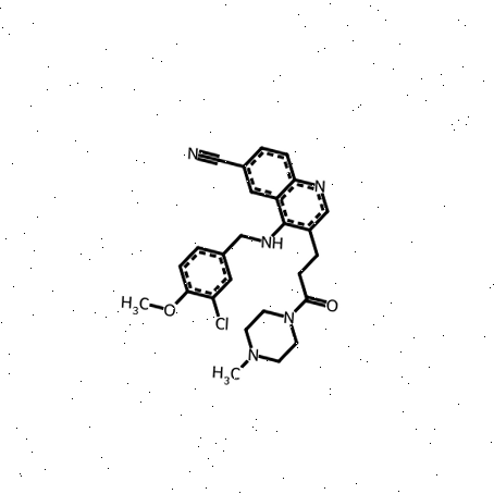 COc1ccc(CNc2c(CCC(=O)N3CCN(C)CC3)cnc3ccc(C#N)cc23)cc1Cl